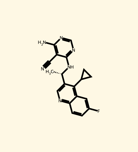 C[C@H](Nc1ncnc(N)c1C#N)c1cnc2ccc(F)cc2c1C1CC1